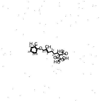 C/C(=C\CCCC(P(=O)(O)O)S(=O)(=O)O)COc1ccccc1C